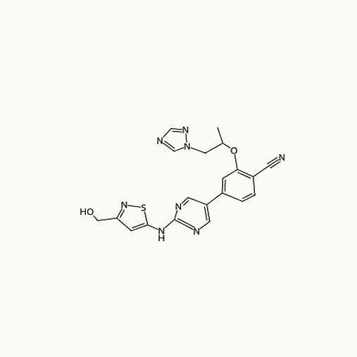 CC(Cn1cncn1)Oc1cc(-c2cnc(Nc3cc(CO)ns3)nc2)ccc1C#N